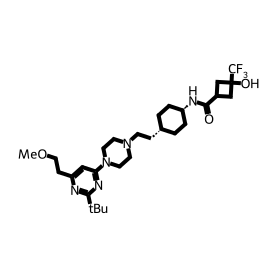 COCCc1cc(N2CCN(CC[C@H]3CC[C@@H](NC(=O)C4CC(O)(C(F)(F)F)C4)CC3)CC2)nc(C(C)(C)C)n1